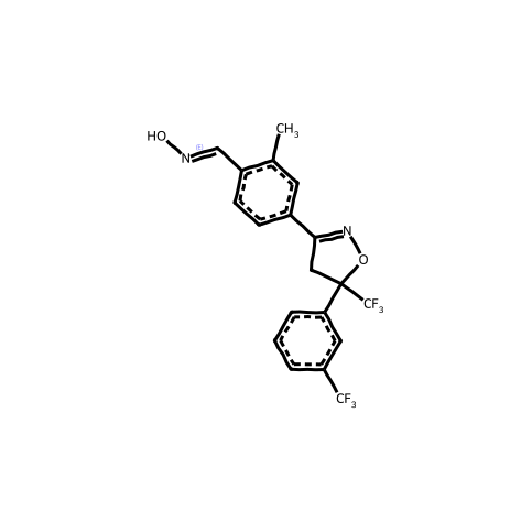 Cc1cc(C2=NOC(c3cccc(C(F)(F)F)c3)(C(F)(F)F)C2)ccc1/C=N/O